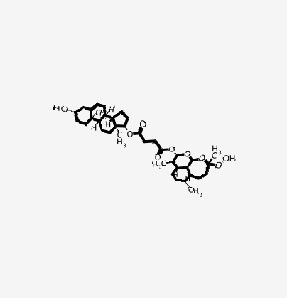 C[C@H]1[C@H](OC(=O)CCC(=O)O[C@H]2CC[C@H]3[C@@H]4CC=C5C[C@@H](O)CC[C@]5(C)[C@H]4CC[C@]23C)OC2O[C@](C)(OO)CC[C@@H]3C2[C@H]1CC[C@H]3C